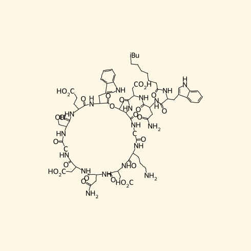 CCC(C)CCCCCCC(=O)NC(Cc1c[nH]c2ccccc12)C(=O)NC(CC(N)=O)C(=O)NC(CC(=O)O)C(=O)NC1C(=O)NCC(=O)NC(CCCN)C(=O)NC(CC(=O)O)C(=O)NC(CC(N)=O)C(=O)NC(CC(=O)O)C(=O)NCC(=O)NC(CO)C(=O)NC(CCC(=O)O)C(=O)NC(Cc2c[nH]c3ccccc23)C(=O)OC1C